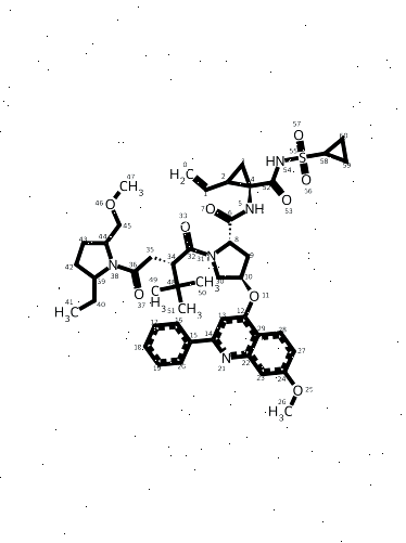 C=CC1C[C@]1(NC(=O)[C@@H]1C[C@@H](Oc2cc(-c3ccccc3)nc3cc(OC)ccc23)CN1C(=O)[C@@H](CC(=O)N1C(CC)CCC1COC)C(C)(C)C)C(=O)NS(=O)(=O)C1CC1